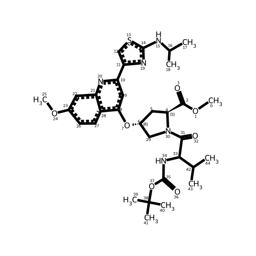 COC(=O)[C@@H]1C[C@@H](Oc2cc(-c3csc(NC(C)C)n3)nc3cc(OC)ccc23)CN1C(=O)C(NC(=O)OC(C)(C)C)C(C)C